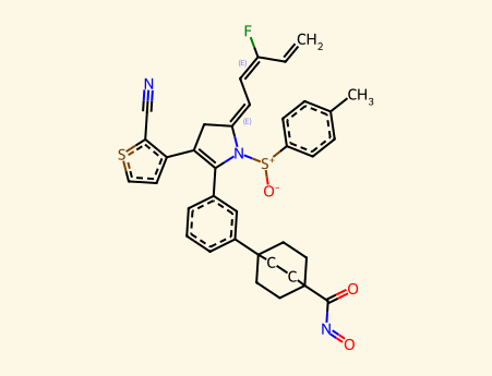 C=C/C(F)=C\C=C1/CC(c2ccsc2C#N)=C(c2cccc(C34CCC(C(=O)N=O)(CC3)CC4)c2)N1[S+]([O-])c1ccc(C)cc1